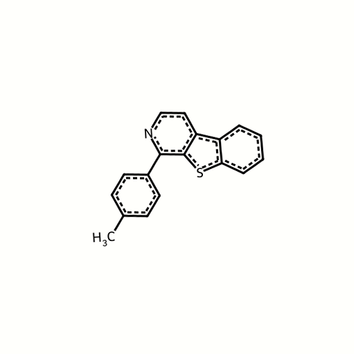 Cc1ccc(-c2nccc3c2sc2ccccc23)cc1